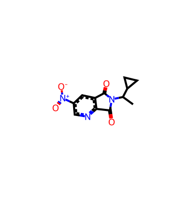 CC(C1CC1)N1C(=O)c2cc([N+](=O)[O-])cnc2C1=O